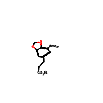 CCOC(=O)CCc1cc(OC)c2c(c1)OCO2